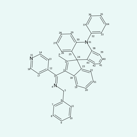 CC1=C(/C(=N\Cc2ccccc2)c2ccncc2)c2ccccc2C12c1ccccc1N(c1ccccc1)c1ccccc12